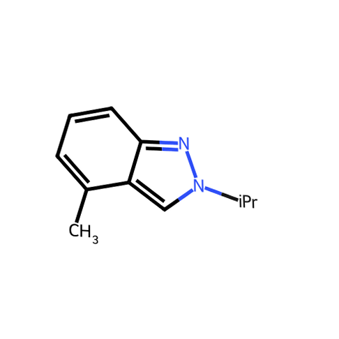 Cc1cccc2nn(C(C)C)cc12